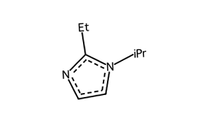 CCc1nccn1C(C)C